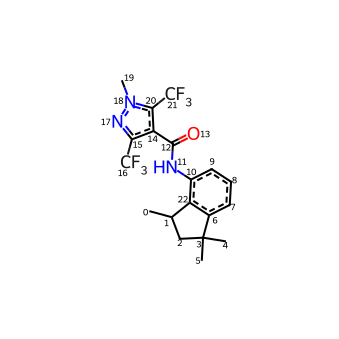 CC1CC(C)(C)c2cccc(NC(=O)c3c(C(F)(F)F)nn(C)c3C(F)(F)F)c21